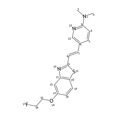 CN(C)c1ccc(/C=C/c2nc3cc(OCCF)ccc3s2)cn1